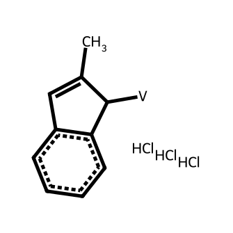 CC1=Cc2ccccc2[CH]1[V].Cl.Cl.Cl